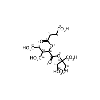 O=C(O)CCC(=O)OC(C(=O)OC(CC(=O)O)(CC(=O)O)C(=O)O)C(CC(=O)O)C(=O)O